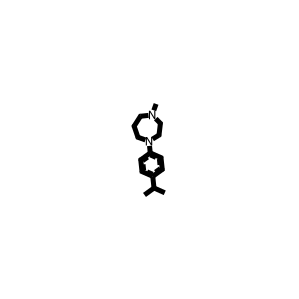 CC(C)c1ccc(N2CCCN(C)CC2)cc1